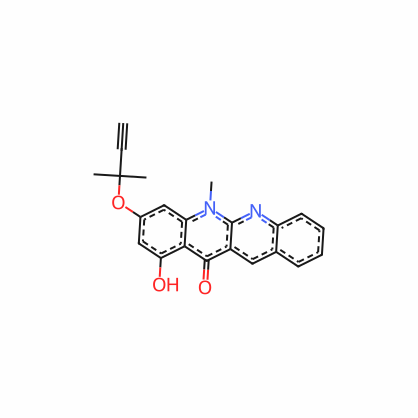 C#CC(C)(C)Oc1cc(O)c2c(=O)c3cc4ccccc4nc3n(C)c2c1